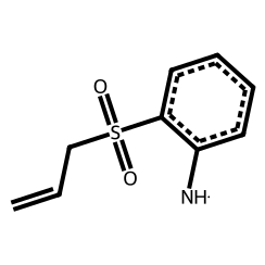 C=CCS(=O)(=O)c1ccccc1[NH]